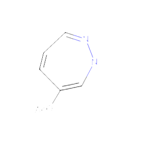 CC(=O)OC1=CNN=CC=C1